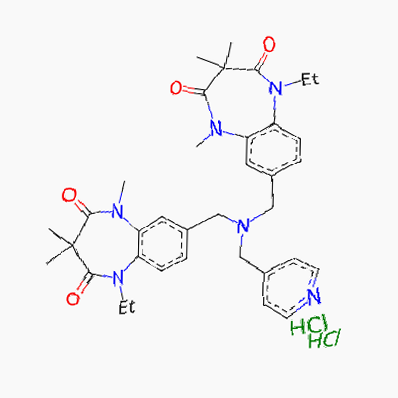 CCN1C(=O)C(C)(C)C(=O)N(C)c2cc(CN(Cc3ccncc3)Cc3ccc4c(c3)N(C)C(=O)C(C)(C)C(=O)N4CC)ccc21.Cl.Cl